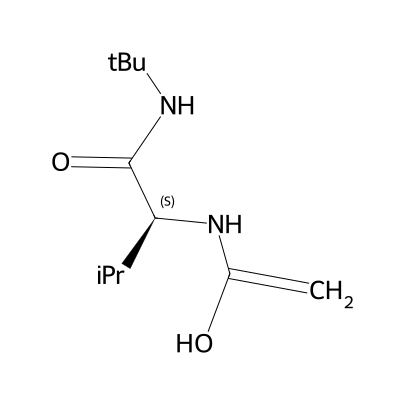 C=C(O)N[C@H](C(=O)NC(C)(C)C)C(C)C